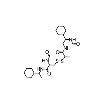 CC(SSCC(NC=O)C(=O)NC(C)C1CCCCC1)C(=O)NCC(NC=O)C1CCCCC1